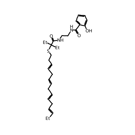 CCC=CCC=CCC=CCC=CCCSC(CC)(CC)C(=O)NCCNC(=O)c1ccccc1O